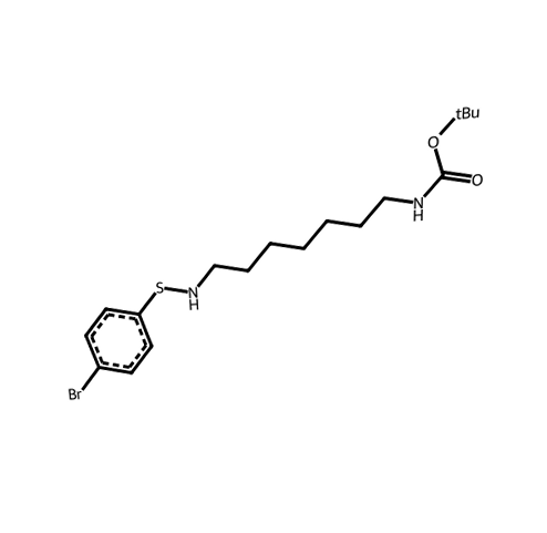 CC(C)(C)OC(=O)NCCCCCCCNSc1ccc(Br)cc1